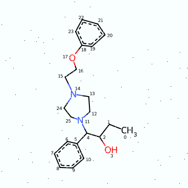 CCC(O)C(c1ccccc1)N1CCN(CCOc2ccccc2)CC1